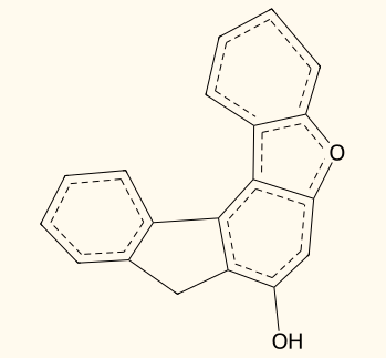 Oc1cc2oc3ccccc3c2c2c1Cc1ccccc1-2